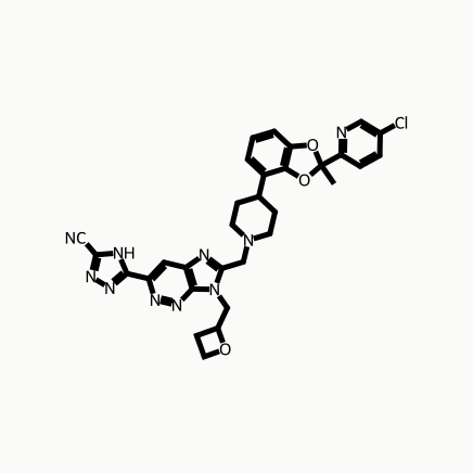 CC1(c2ccc(Cl)cn2)Oc2cccc(C3CCN(Cc4nc5cc(-c6nnc(C#N)[nH]6)nnc5n4CC4CCO4)CC3)c2O1